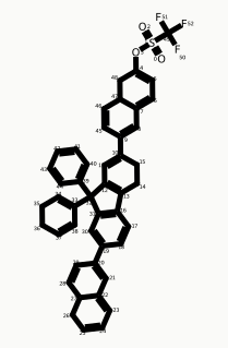 O=S(=O)(OC1=CC=C2C=C(C3=CC4=C(CC3)c3ccc(C5=CC6=CC=CCC6C=C5)cc3C4(C3=CCCC=C3)c3ccccc3)C=CC2C1)C(F)(F)F